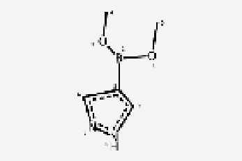 COB(OC)c1cn[nH]c1